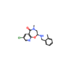 Cc1ccccc1CNC1CN(C)C(=O)c2cc(Cl)cnc2O1